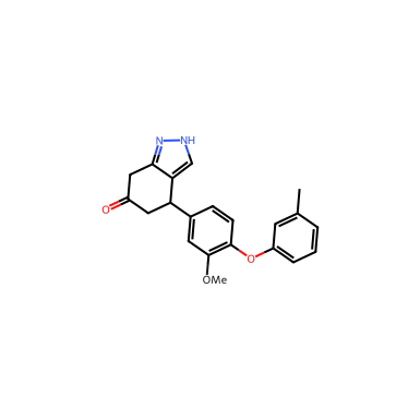 COc1cc(C2CC(=O)Cc3n[nH]cc32)ccc1Oc1cccc(C)c1